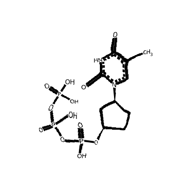 Cc1cn([C@H]2CC[C@@H](OP(=O)(O)OP(=O)(O)OP(=O)(O)O)C2)c(=O)[nH]c1=O